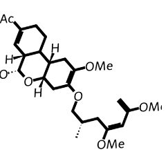 C=C(/C=C(\C[C@H](C)COC1=C(OC)C[C@H]2C3CCC(C(C)=O)=C[C@H]3[C@@H](O)O[C@H]2C1)OC)OC